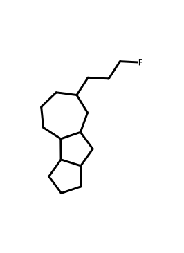 FCCCC1CCCC2C(C1)CC1CCCC12